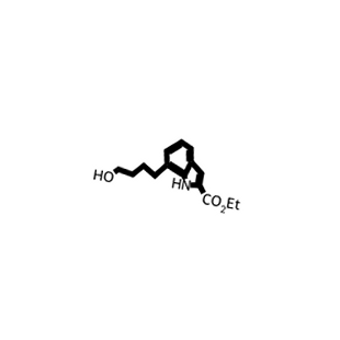 CCOC(=O)c1cc2cccc(CCCCO)c2[nH]1